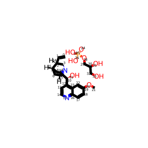 C=C[C@H]1C[N@]2CC[C@H]1C[C@H]2[C@H](O)c1ccnc2ccc(OC)cc12.O=P(O)(O)OCC(O)CO